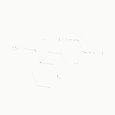 COC(=O)C12CCCN(CCC1)C2.O=C(O)C(=O)O